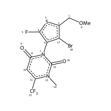 COCc1sc(F)c(-n2c(=O)cc(C(F)(F)F)n(C)c2=O)c1Br